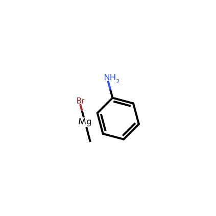 Nc1ccccc1.[CH3][Mg][Br]